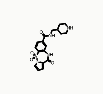 O=C(NCC1CCNCC1)c1ccc2c(c1)NC(=O)c1cccn1S2(=O)=O